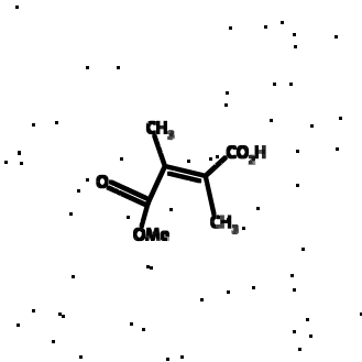 COC(=O)C(C)=C(C)C(=O)O